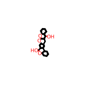 O=C(O)c1ccc(Cc2c(O)c3ccccc3oc2=O)cc1-c1ccccc1